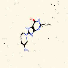 COc1nc2nc(N3CCCC(N)C3)[nH]c2c(=O)[nH]1